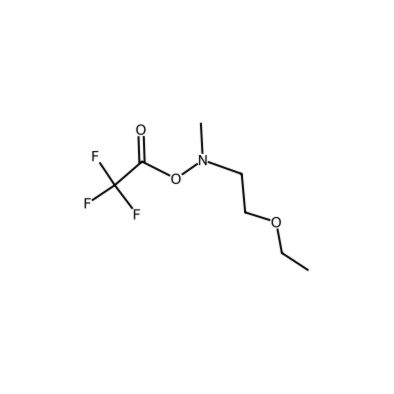 CCOCCN(C)OC(=O)C(F)(F)F